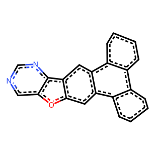 c1ccc2c(c1)c1ccccc1c1cc3c(cc21)oc1cncnc13